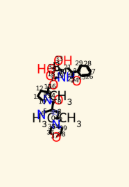 CC(C)(/C=C(\C#N)C(=O)N1CCC[C@]1(C)COC(=O)N[C@@H](Cc1coc2ccccc12)B(O)O)N1CCOCC1